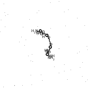 N=C(N)c1cccc(S(=O)(=O)NCc2ccc(OCCCCCOc3ccc(CNS(=O)(=O)c4cccc(C(=N)N)c4)cc3)cc2)c1